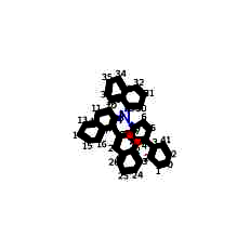 c1ccc(-c2ccc(N(c3ccc4ccccc4c3-c3ccc4ccccc4c3)c3cccc4ccccc34)cc2)cc1